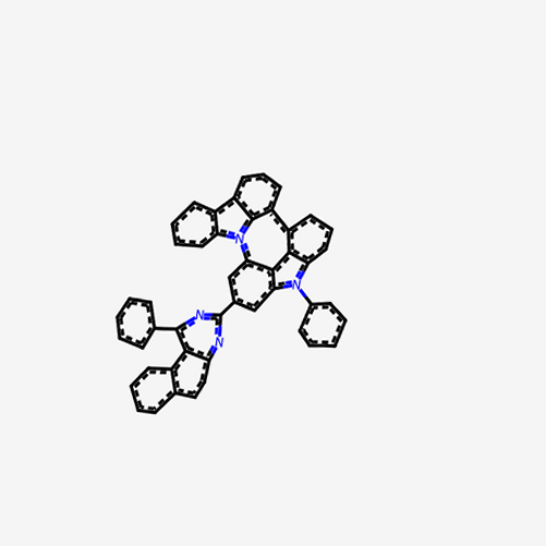 c1ccc(-c2nc(-c3cc4c5c6c(cccc6n4-c4ccccc4)c4cccc6c7ccccc7n(c5c3)c46)nc3ccc4ccccc4c23)cc1